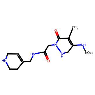 BC1=C(NCCCCCCCC)CNN(CC(=O)NCC2=CCNCC2)C1=O